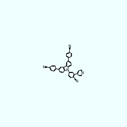 N#Cc1ccc(-c2ccc3c(c2)c2cc(-c4ccc(C#N)cc4)ccc2n3-c2ccc(C#N)c(-c3ccncc3)c2)cc1